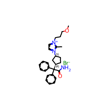 COCCC[n+]1ccn([C@H]2CC[C@@H](C(C(N)=O)(c3ccccc3)c3ccccc3)C2)c1C.[Br-]